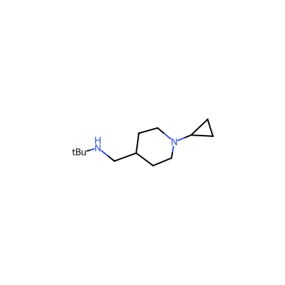 CC(C)(C)NCC1CCN(C2CC2)CC1